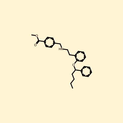 CCCCC(Oc1ccccc1CCNCc1ccc(C(=O)OC)cc1)c1ccccc1